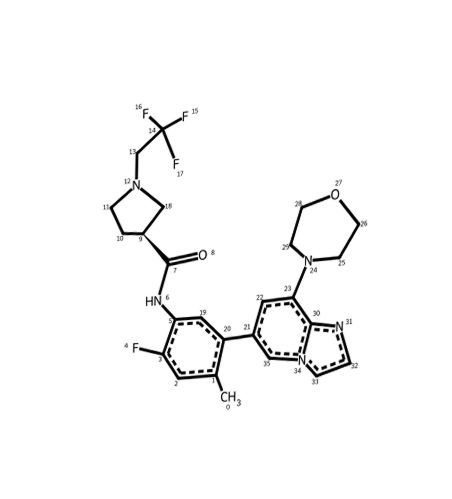 Cc1cc(F)c(NC(=O)[C@H]2CCN(CC(F)(F)F)C2)cc1-c1cc(N2CCOCC2)c2nccn2c1